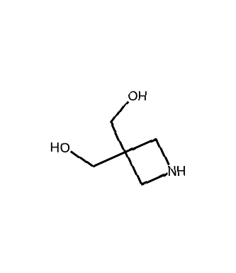 OCC1(CO)CNC1